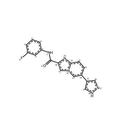 O=C(Nc1cccc(F)c1)c1cn2cc(-c3cn[nH]c3)ccc2n1